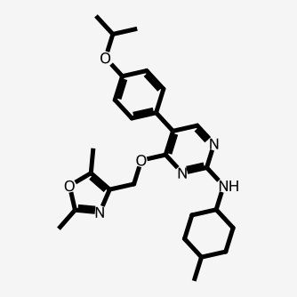 Cc1nc(COc2nc(NC3CCC(C)CC3)ncc2-c2ccc(OC(C)C)cc2)c(C)o1